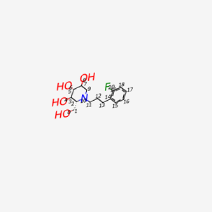 OC[C@@H]1[C@@H](O)[C@H](O)[C@@H](O)CN1CCCc1ccccc1F